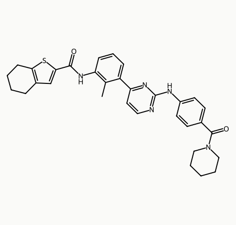 Cc1c(NC(=O)c2cc3c(s2)CCCC3)cccc1-c1ccnc(Nc2ccc(C(=O)N3CCCCC3)cc2)n1